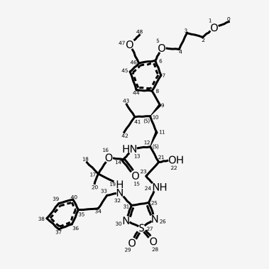 COCCCOc1cc(C[C@@H](C[C@H](NC(=O)OC(C)(C)C)C(O)CNC2=NS(=O)(=O)N=C2NCCc2ccccc2)C(C)C)ccc1OC